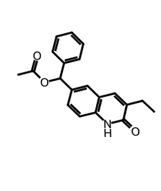 CCc1cc2cc(C(OC(C)=O)c3ccccc3)ccc2[nH]c1=O